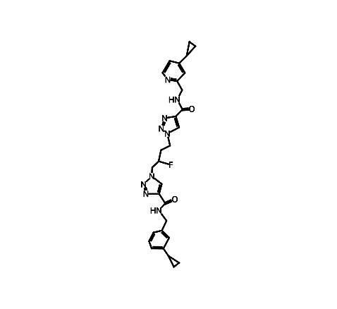 O=C(NCc1cc(C2CC2)ccn1)c1cn(CCC(F)Cn2cc(C(=O)NCc3cccc(C4CC4)c3)nn2)nn1